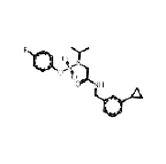 CC(C)N(CC(=O)NCc1cccc(C2CC2)c1)S(=O)(=O)Oc1ccc(F)cc1